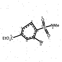 CCOC(=O)c1ccc(S(=O)(=O)NC)c(Br)c1